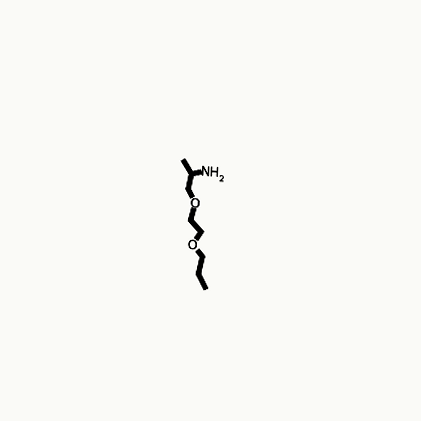 CCCOCCOCC(C)N